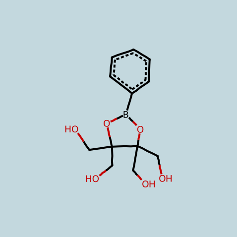 OCC1(CO)OB(c2ccccc2)OC1(CO)CO